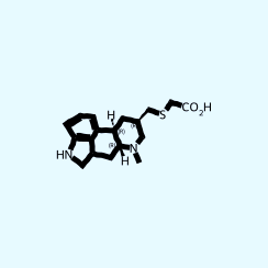 CN1C[C@H](CSCC(=O)O)C[C@@H]2c3cccc4c3C(CN4)C[C@H]21